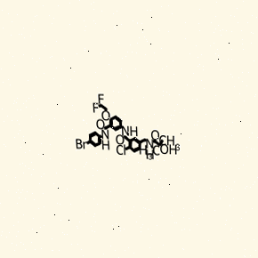 CC(C)(O)C(=O)NCc1ccc(Cl)c(C(=O)Nc2ccc(OCC(F)F)c(C(=O)Nc3ccc(Br)cc3)c2)c1